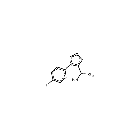 CC(N)c1nccn1-c1ccc(F)cc1